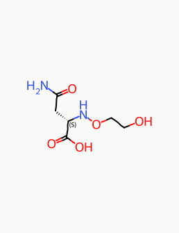 NC(=O)C[C@H](NOCCO)C(=O)O